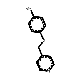 [CH2]CCc1ccc(OCc2ccncc2)cc1